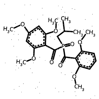 COc1cc(OC)c(C(=O)P(=O)(CC(C)C)C(=O)c2c(OC)cccc2OC)c(OC)c1